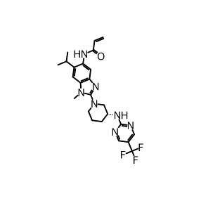 C=CC(=O)Nc1cc2nc(N3CCC[C@@H](Nc4ncc(C(F)(F)F)cn4)C3)n(C)c2cc1C(C)C